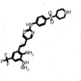 NNc1cc(C(F)(F)F)cc(/C=C/c2cnc(Nc3ccc(S(=O)(=O)C4CCNCC4)cc3)nc2)c1N